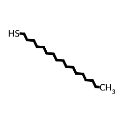 CCCCCCCCCCCCCCCCCS